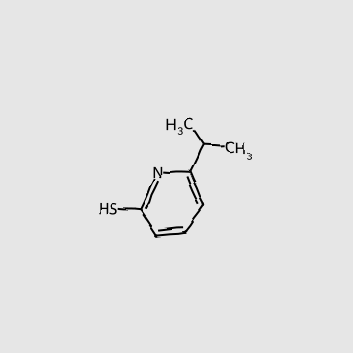 CC(C)c1cccc(S)n1